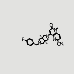 Cn1c(=O)cc(N2C[C@]3(C)CN(Cc4ccc(F)cc4)C[C@]3(C)C2)c2nc(C#N)ccc21